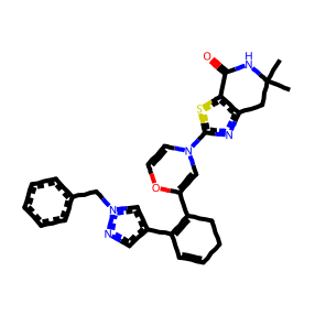 CC1(C)Cc2nc(N3C=COC(C4=C(c5cnn(Cc6ccccc6)c5)C=CCC4)=C3)sc2C(=O)N1